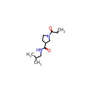 C=CC(=O)N1CCC(C(=O)NCC(C)C)C1